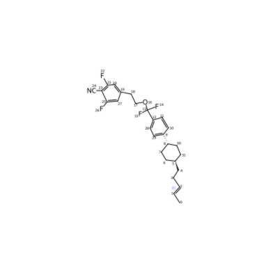 C/C=C/CC[C@H]1CC[C@H](c2ccc(C(F)(F)OCCc3cc(F)c(C#N)c(F)c3)cc2)CC1